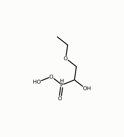 CCOCC(O)[PH](=O)OO